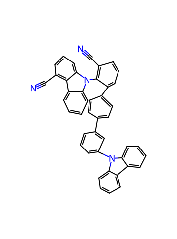 N#Cc1cccc(-c2ccc(-c3cccc(-n4c5ccccc5c5ccccc54)c3)cc2)c1-n1c2ccccc2c2c(C#N)cccc21